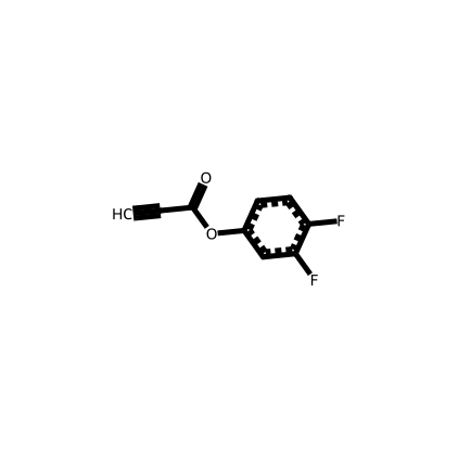 C#CC(=O)Oc1ccc(F)c(F)c1